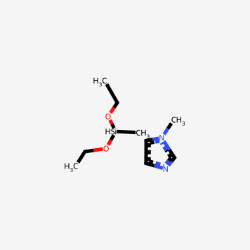 CCO[SiH](C)OCC.Cn1ccnc1